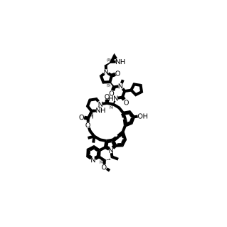 CCn1c(-c2cccnc2[C@H](C)OC)c2c3cc(ccc31)-c1cc(O)cc(c1)C[C@H](NC(=O)C(C1CCCC1)N(C)C(=O)[C@H]1CCN(C[C@H]3CN3)C1=O)C(=O)N1CCC[C@H](N1)C(=O)OCC(C)(C)C2